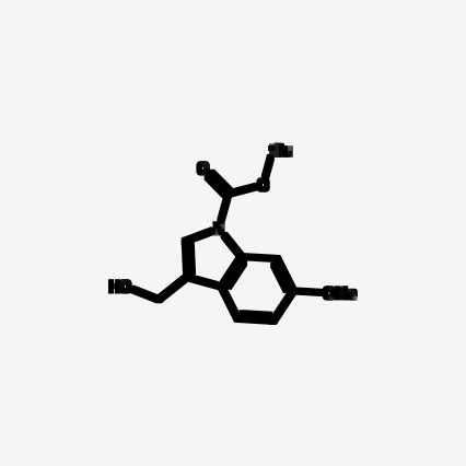 COc1ccc2c(CO)cn(C(=O)OC(C)(C)C)c2c1